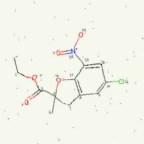 CCOC(=O)C1(C)Cc2cc(Cl)cc([N+](=O)[O-])c2O1